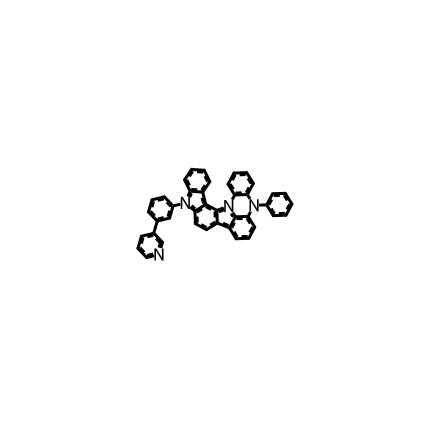 c1ccc(N2c3ccccc3-n3c4c2cccc4c2ccc4c(c5ccccc5n4-c4cccc(-c5cccnc5)c4)c23)cc1